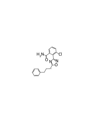 NC(=O)c1cccc(Cl)c1-c1noc([CH]CCc2ccccc2)n1